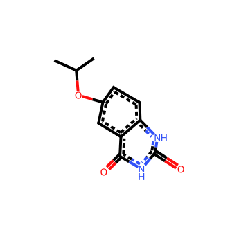 CC(C)Oc1ccc2[nH]c(=O)[nH]c(=O)c2c1